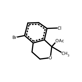 CC(=O)OC1(C)OCCc2c(Br)ccc(Cl)c21